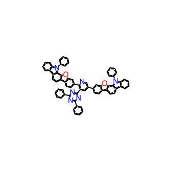 c1ccc(-c2nc(-c3ccccc3)nc(-c3cc(-c4ccc5c(c4)oc4c5ccc5c6ccccc6n(-c6ccccc6)c54)cnc3-c3ccc4c(c3)oc3c4ccc4c5ccccc5n(-c5ccccc5)c43)n2)cc1